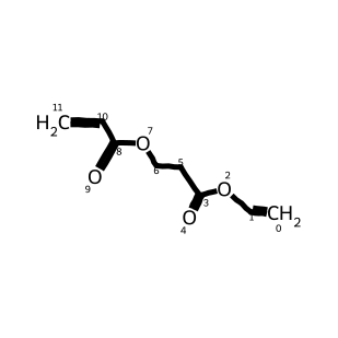 C=COC(=O)CCOC(=O)C=C